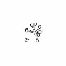 [O]=[W](=[O])(=[O])(=[O])(=[O])(=[O])(=[O])=[O].[Zr]